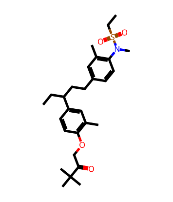 CCC(CCc1ccc(N(C)S(=O)(=O)CC)c(C)c1)c1ccc(OCC(=O)C(C)(C)C)c(C)c1